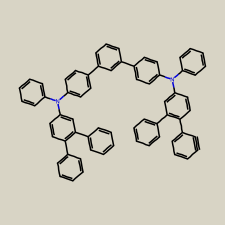 c1cccc(-c2ccc(N(c3ccccc3)c3ccc(-c4cccc(-c5ccc(N(c6ccccc6)c6ccc(-c7ccccc7)c(-c7ccccc7)c6)cc5)c4)cc3)cc2-c2ccccc2)c#1